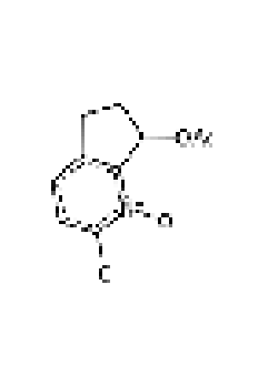 CC(=O)OC1CCc2ccc(Cl)[n+]([O-])c21